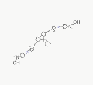 CCCCC1(CCCC)c2cc(C#Cc3ccc(/C=C/c4ccc(N(CC)CCO)cc4)s3)ccc2-c2ccc(C#Cc3ccc(/C=C/c4ccc(N(CC)CCO)cc4)s3)cc21